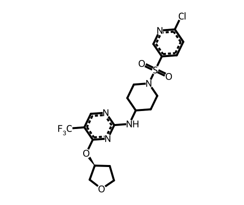 O=S(=O)(c1ccc(Cl)nc1)N1CCC(Nc2ncc(C(F)(F)F)c(O[C@H]3CCOC3)n2)CC1